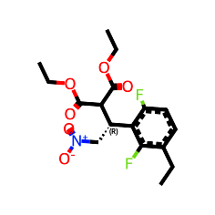 CCOC(=O)C(C(=O)OCC)[C@@H](C[N+](=O)[O-])c1c(F)ccc(CC)c1F